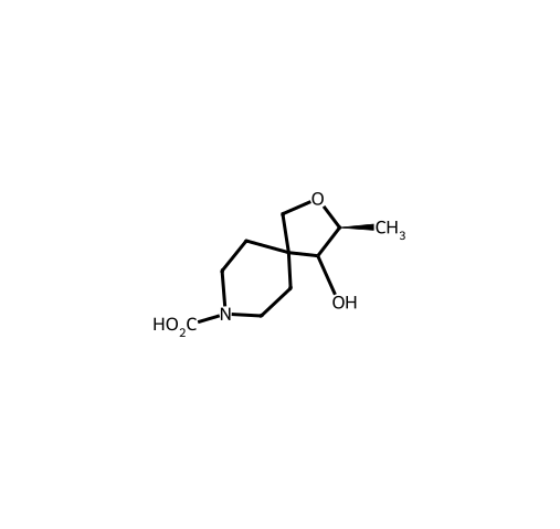 C[C@@H]1OCC2(CCN(C(=O)O)CC2)C1O